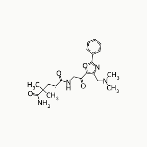 CN(C)Cc1nc(-c2ccccc2)oc1C(=O)CNC(=O)[CH]CC(C)(C)C(N)=O